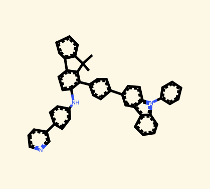 CC1(C)c2ccccc2-c2ccc(Nc3ccc(-c4cccnc4)cc3)c(-c3ccc(-c4ccc5c(c4)c4ccccc4n5-c4ccccc4)cc3)c21